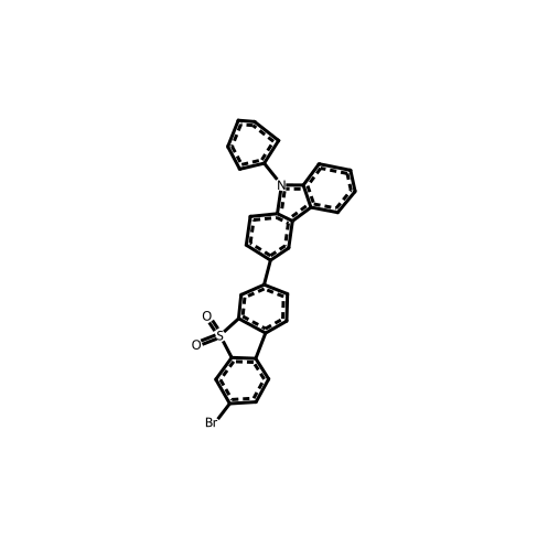 O=S1(=O)c2cc(Br)ccc2-c2ccc(-c3ccc4c(c3)c3ccccc3n4-c3ccccc3)cc21